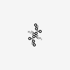 CCc1nc2cc(N(c3ccccc3)c3ccc4c(c3)sc3ccccc34)cc3c(CC)nc4cc(N(c5ccccc5)c5ccc6c(c5)sc5ccccc56)cc1c4c23